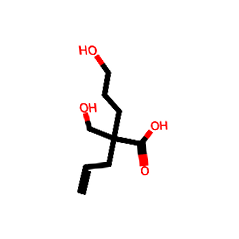 C=CCC(CO)(CCCO)C(=O)O